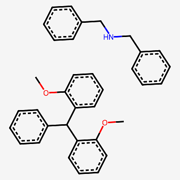 COc1ccccc1C(c1ccccc1)c1ccccc1OC.c1ccc(CNCc2ccccc2)cc1